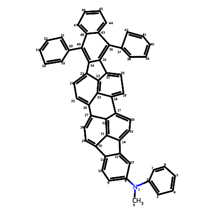 CN(c1ccccc1)c1ccc2c(c1)-c1ccc3c4ccc5c6c(ccc(c7ccc-2c1c73)c64)-c1c-5c(-c2ccccc2)c2ccccc2c1-c1ccccc1